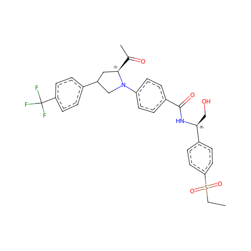 CCS(=O)(=O)c1ccc([C@H](CO)NC(=O)c2ccc(N3CC(c4ccc(C(F)(F)F)cc4)C[C@H]3C(C)=O)cc2)cc1